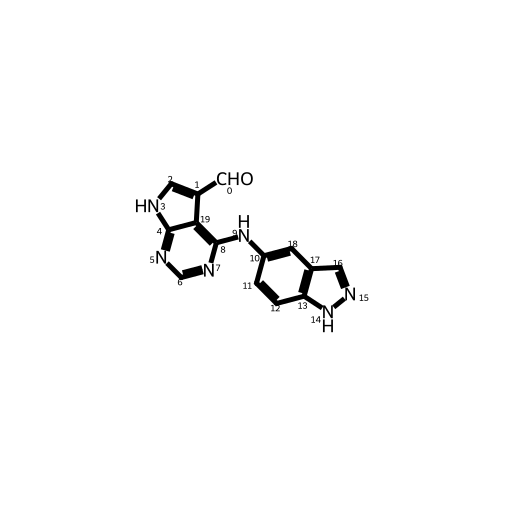 O=Cc1c[nH]c2ncnc(Nc3ccc4[nH]ncc4c3)c12